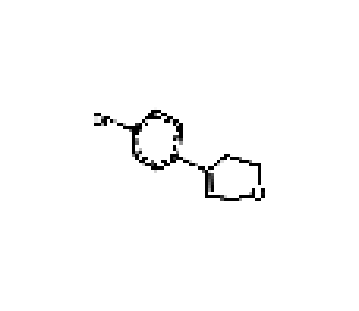 Brc1ccc(C2=CCOCC2)cc1